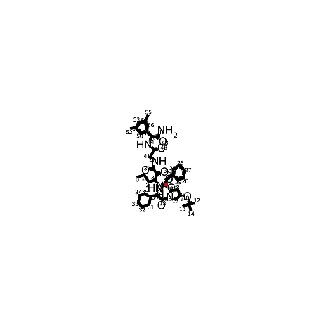 CCCC(NC(=O)[C@@H]1C[C@@H](OC(C)(C)C)CN1C(=O)[C@@H](NC(=O)Cc1ccccc1)C1CCCCC1)C(=O)C(=O)NCC(=O)NC(C(N)=O)c1cc(C)cc(C)c1